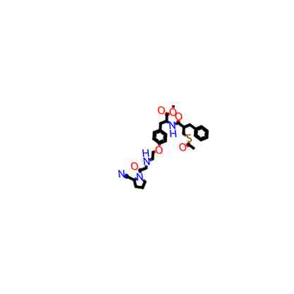 COC(=O)C(Cc1ccc(OCCNCC(=O)N2CCCC2C#N)cc1)NC(=O)C(CSC(C)=O)Cc1ccccc1